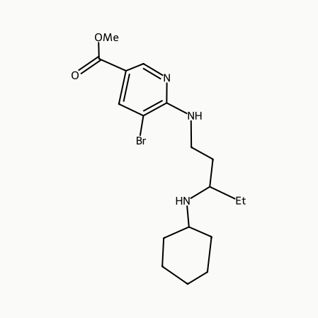 CCC(CCNc1ncc(C(=O)OC)cc1Br)NC1CCCCC1